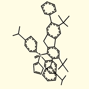 [CH2]=[Zr]([C]1=CC=CC1)([c]1ccc(C(C)C)cc1)([c]1ccc(C(C)C)cc1)[c]1c2c(cc(C(C)(C)C)c1-c1ccccc1)-c1cc(C(C)(C)C)c(-c3ccccc3)cc1C2